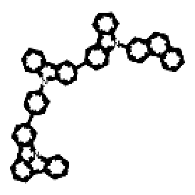 c1ccc2c(c1)ccc1cc(-n3c4ccccc4c4cc(-c5ccc6c(c5)c5ccccc5n6-c5ccc(-c6ccc7c8cccc9c%10ccccc%10n(c7c6)c98)cc5)ccc43)ccc12